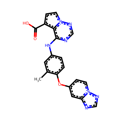 Cc1cc(Nc2ncnn3ccc(C(=O)O)c23)ccc1Oc1ccn2ncnc2c1